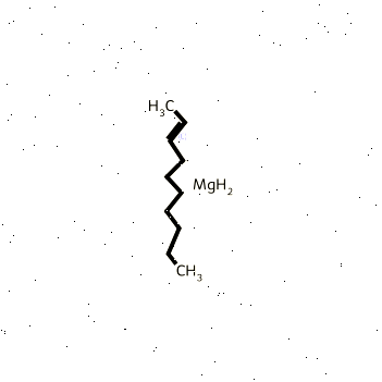 C/C=C/[CH]CCCCCC.[MgH2]